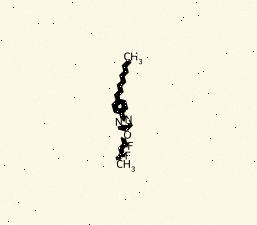 CCCCCCCCCc1ccc(-c2ncc(OCC(F)CC(F)CC)cn2)cc1